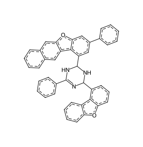 c1ccc(C2=NC(c3cccc4oc5ccccc5c34)NC(c3cc(-c4ccccc4)cc4oc5cc6ccccc6cc5c34)N2)cc1